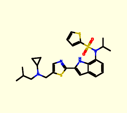 CC(C)CN(Cc1cnc(-c2cc3cccc(N(C(C)C)S(=O)(=O)c4cccs4)c3[nH]2)s1)C1CC1